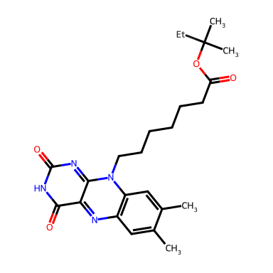 CCC(C)(C)OC(=O)CCCCCCn1c2nc(=O)[nH]c(=O)c-2nc2cc(C)c(C)cc21